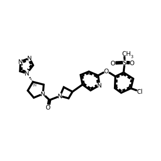 CS(=O)(=O)c1cc(Cl)ccc1Oc1ccc(C2CN(C(=O)N3CC[C@H](n4cnnc4)C3)C2)cn1